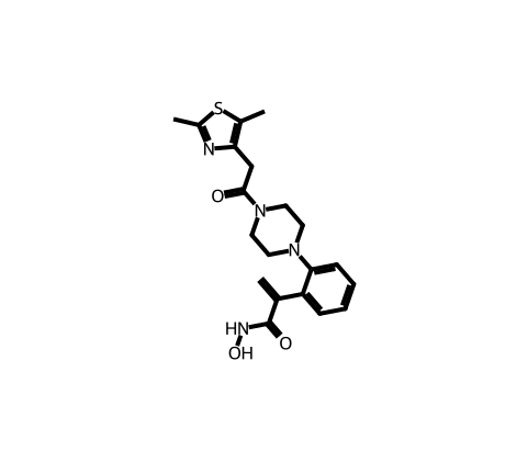 C=C(C(=O)NO)c1ccccc1N1CCN(C(=O)Cc2nc(C)sc2C)CC1